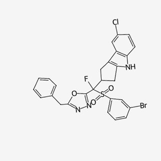 O=S(=O)(c1cccc(Br)c1)C(F)(c1nnc(Cc2ccccc2)o1)C1Cc2[nH]c3ccc(Cl)cc3c2C1